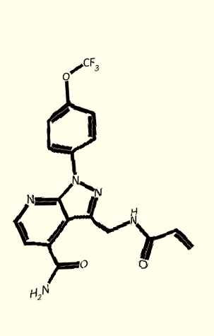 C=CC(=O)NCc1nn(-c2ccc(OC(F)(F)F)cc2)c2nccc(C(N)=O)c12